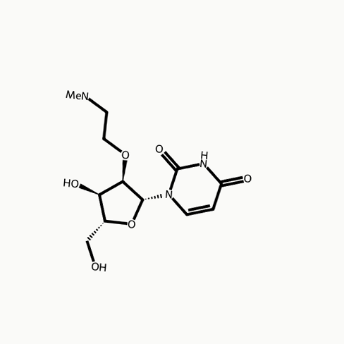 CNCCO[C@@H]1[C@H](O)[C@@H](CO)O[C@H]1n1ccc(=O)[nH]c1=O